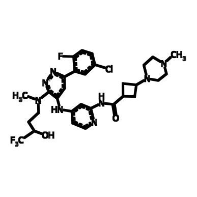 CN1CCN(C2CC(C(=O)Nc3cc(Nc4cc(-c5cc(Cl)ccc5F)nnc4N(C)CCC(O)C(F)(F)F)ccn3)C2)CC1